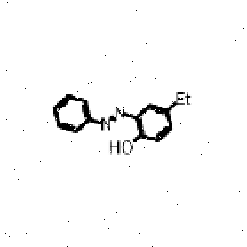 CCc1ccc(O)c(/N=N/c2ccccc2)c1